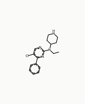 CCN(c1ncc(Cl)c(-c2ccccc2)n1)C1CCNCC1